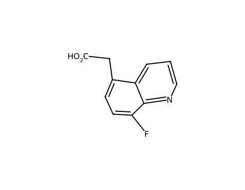 O=C(O)Cc1ccc(F)c2ncccc12